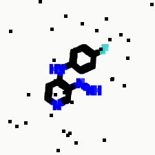 N=Nc1cnccc1Nc1ccc(F)cc1